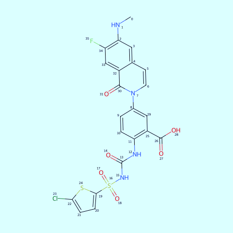 CNc1cc2ccn(-c3ccc(NC(=O)NS(=O)(=O)c4ccc(Cl)s4)c(C(=O)O)c3)c(=O)c2cc1F